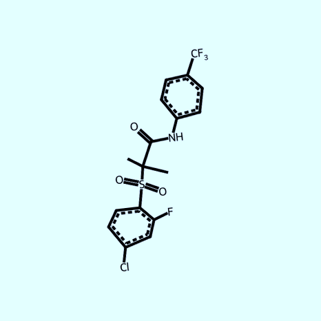 CC(C)(C(=O)Nc1ccc(C(F)(F)F)cc1)S(=O)(=O)c1ccc(Cl)cc1F